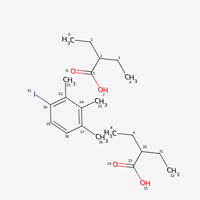 CCC(CC)C(=O)O.CCC(CC)C(=O)O.Cc1ccc(I)c(C)c1C